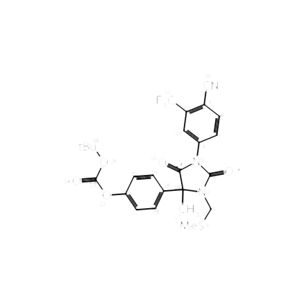 CSCN1C(=O)N(c2ccc(C#N)c(C(F)(F)F)c2)C(=O)C1(C)c1ccc(OC(=O)OC(C)(C)C)cc1